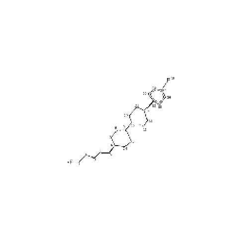 FCCCC=C[C@H]1CC[C@H]([C@H]2CC[C@H](c3ccc(F)cc3)CC2)CC1